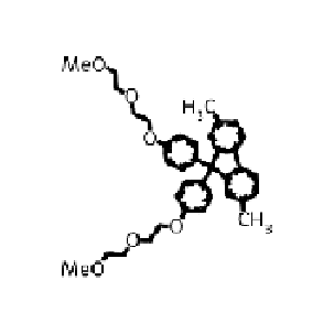 COCCOCCOc1ccc(C2(c3ccc(OCCOCCOC)cc3)c3cc(C)ccc3-c3ccc(C)cc32)cc1